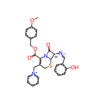 COc1ccc(COC(=O)C2=C(C[n+]3ccccc3)CSC3[C@H](/N=C\c4ccccc4O)C(=O)N23)cc1